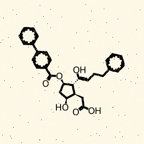 O=C(O)C[C@@H]1[C@@H](C(O)=CCCc2ccccc2)[C@H](OC(=O)c2ccc(-c3ccccc3)cc2)C[C@@H]1O